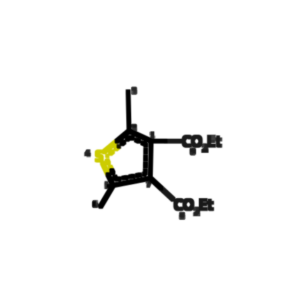 CCOC(=O)c1c(C)sc(C)c1C(=O)OCC